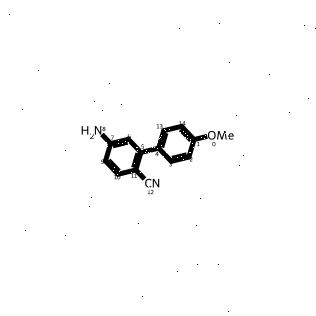 COc1ccc(-c2cc(N)ccc2C#N)cc1